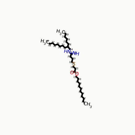 CCCCCCCCCCCCOC(=O)CCSCCCC(=N)NCC(CCCCCC)CCCCCCCC